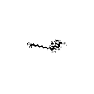 COC(=O)CCCCCCCC[C@H]1O[C@@](C#N)(c2ccc3c(N)ncnn23)[C@H](O)[C@@H]1O